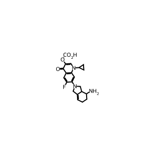 NC1CCC=C2CN(c3cc4c(cc3F)c(=O)c(OC(=O)O)cn4C3CC3)CC21